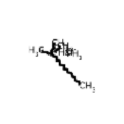 CCCCCCCCCCCCCCCC[P+](CCCC)(CCCC)CCCC.Cl.P.[Cl-]